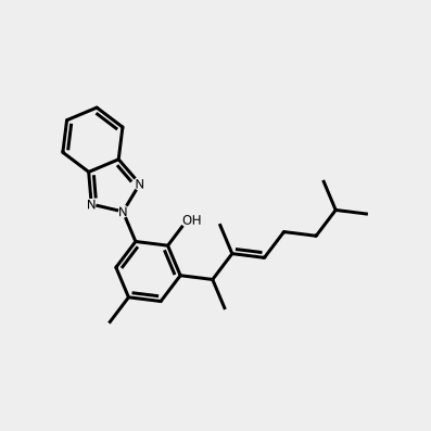 C/C(=C\CCC(C)C)C(C)c1cc(C)cc(-n2nc3ccccc3n2)c1O